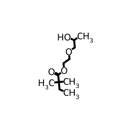 CCC(C)(C)C(=O)OCCOCC(C)O